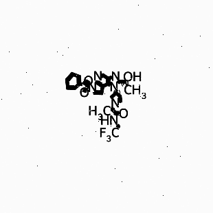 CC(C(=O)NCC(F)(F)F)N1CC[C@H](n2c([C@@H](C)O)nc3cnc4c(ccn4S(=O)(=O)c4ccccc4)c32)C1